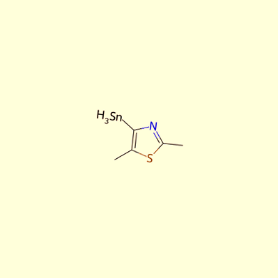 Cc1n[c]([SnH3])c(C)s1